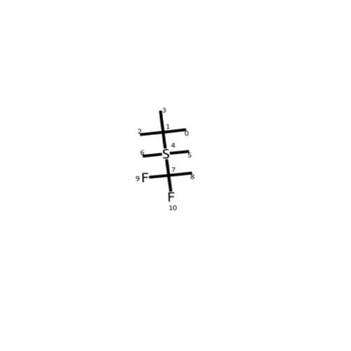 CC(C)(C)S(C)(C)C(C)(F)F